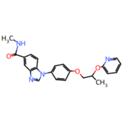 CNC(=O)c1ccc2c(c1)ncn2-c1ccc(OCC(C)Oc2ccccn2)cc1